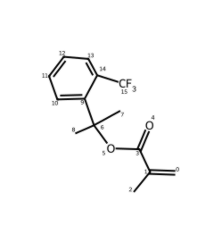 C=C(C)C(=O)OC(C)(C)c1ccccc1C(F)(F)F